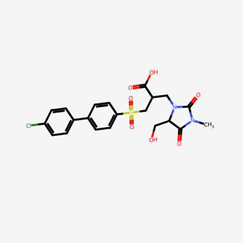 CN1C(=O)C(CO)N(CC(CS(=O)(=O)c2ccc(-c3ccc(Cl)cc3)cc2)C(=O)O)C1=O